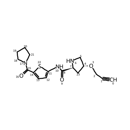 C#CCO[C@H]1CN[C@H](C(=O)Nc2ccc(C(=O)N3CCCC3)s2)C1